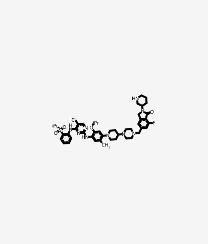 Cc1cc(Nc2ncc(Cl)c(Nc3ccccc3S(=O)(=O)C(C)C)n2)c(OC(C)C)cc1N1CCC(N2CCN(Cc3cc(F)c4c(c3)CN(C3CCCNC3)C4=O)CC2)CC1